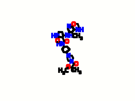 CO[C@H](C)C(=O)N1CCN(c2ccc(NC(=O)c3c(Nc4cnc5c(c4C)NCCO5)cc[nH]c3=O)cc2)CC1